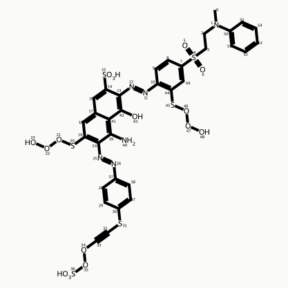 CN(CCS(=O)(=O)c1ccc(N=Nc2c(S(=O)(=O)O)cc3cc(SOOO)c(N=Nc4ccc(SC#COOS(=O)(=O)O)cc4)c(N)c3c2O)c(SOOO)c1)c1ccccc1